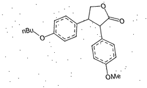 CCCCOc1ccc(C2COC(=O)C2c2ccc(OC)cc2)cc1